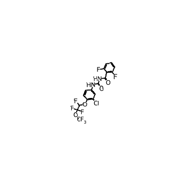 O=C(NC(=O)c1c(F)cccc1F)Nc1ccc(OC(F)C(F)(F)OC(F)(F)F)c(Cl)c1